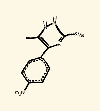 CSC1=NC(c2ccc([N+](=O)[O-])cc2)=C(C)NN1